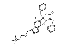 Cc1cc2c(cnn2COCC[Si](C)(C)C)cc1C1(Cc2ccccc2)CC(=O)N(Cc2ccccc2)C1=O